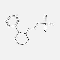 O=S(=O)(O)CCCN1CCCCC1c1ccccc1